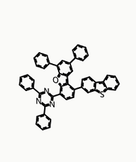 c1ccc(-c2cc(-c3ccccc3)c3oc4c(-c5nc(-c6ccccc6)nc(-c6ccccc6)n5)ccc(-c5ccc6c(c5)sc5ccccc56)c4c3c2)cc1